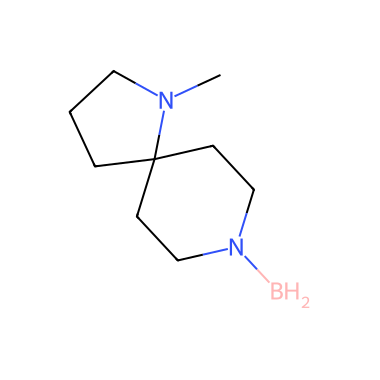 BN1CCC2(CCCN2C)CC1